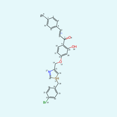 CC(C)c1ccc(/C=C/C(=O)c2ccc(OCC3=C[SH](Cc4ccc(Br)cc4)C=N3)cc2O)cc1